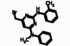 Cc1ccccc1Nc1nc(CBr)cc(N(C)c2ccccc2)n1